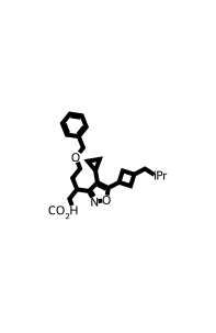 CC(C)CC1CC(c2onc(C(CCOCc3ccccc3)CC(=O)O)c2C2CC2)C1